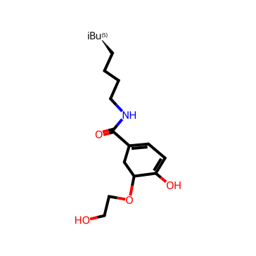 CC[C@H](C)CCCCNC(=O)C1=CC=C(O)C(OCCO)C1